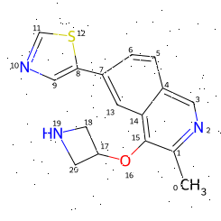 Cc1ncc2ccc(-c3cncs3)cc2c1OC1CNC1